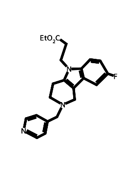 CCOC(=O)CCn1c2c(c3cc(F)ccc31)CN(Cc1ccncc1)CC2